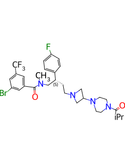 CC(C)C(=O)N1CCN(C2CN(CC[C@H](CN(C)C(=O)c3cc(Br)cc(C(F)(F)F)c3)c3ccc(F)cc3)C2)CC1